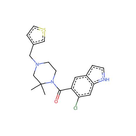 CC1(C)CN(Cc2ccsc2)CCN1C(=O)c1cc2cc[nH]c2cc1Cl